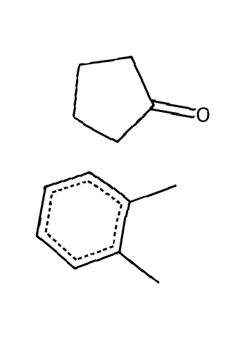 Cc1ccccc1C.O=C1CCCC1